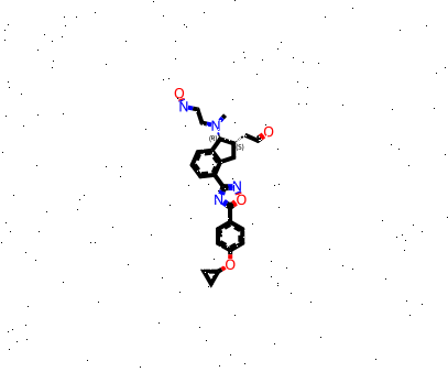 CN(CCN=O)[C@H]1c2cccc(-c3noc(-c4ccc(OC5CC5)cc4)n3)c2C[C@H]1CC=O